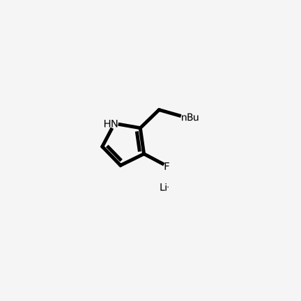 CCCCCc1[nH]ccc1F.[Li]